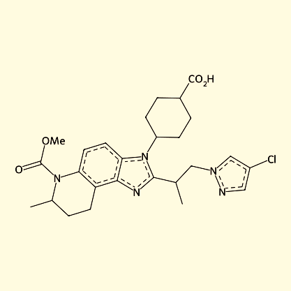 COC(=O)N1c2ccc3c(nc(C(C)Cn4cc(Cl)cn4)n3C3CCC(C(=O)O)CC3)c2CCC1C